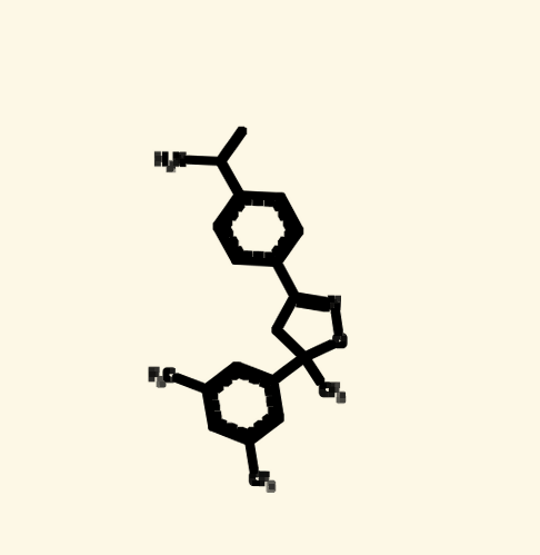 CC(N)c1ccc(C2=NOC(c3cc(C(F)(F)F)cc(C(F)(F)F)c3)(C(F)(F)F)C2)cc1